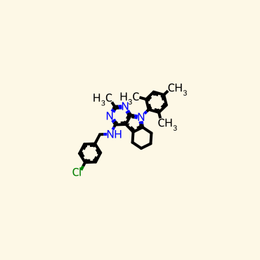 Cc1cc(C)c(-n2c3c(c4c(NCc5ccc(Cl)cc5)nc(C)nc42)CCCC3)c(C)c1